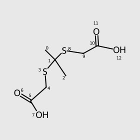 CC(C)(SCC(=O)O)SCC(=O)O